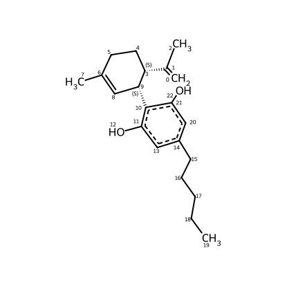 C=C(C)[C@H]1CCC(C)=C[C@H]1c1c(O)cc(CCCCC)cc1O